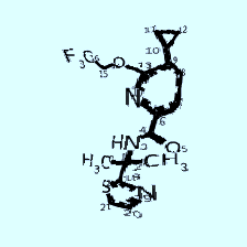 CC(C)(NC(=O)c1ccc(C2CC2)c(OCC(F)(F)F)n1)c1nccs1